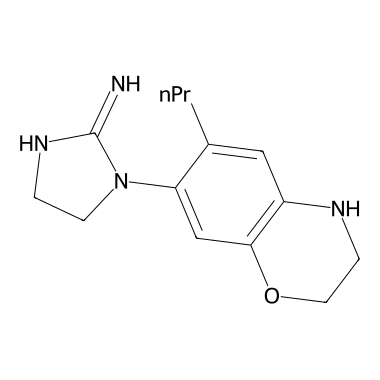 CCCc1cc2c(cc1N1CCNC1=N)OCCN2